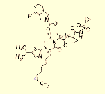 C/C=C\CCCCC[C@H](Nc1ncc(C(C)C)s1)C(=O)N1C[C@H](OC(=O)N2Cc3cccc(F)c3C2)C[C@H]1C(=O)NC1(C(=O)NS(=O)(=O)C2CC2)CC1